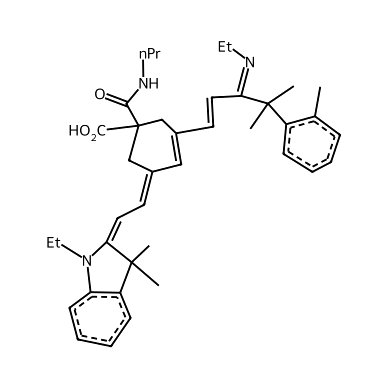 CCCNC(=O)C1(C(=O)O)CC(/C=C/C(=N\CC)C(C)(C)c2ccccc2C)=CC(=C/C=C2/N(CC)c3ccccc3C2(C)C)/C1